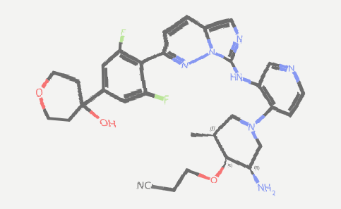 C[C@H]1CN(c2ccncc2Nc2ncc3ccc(-c4c(F)cc(C5(O)CCOCC5)cc4F)nn23)C[C@@H](N)[C@H]1OCCC#N